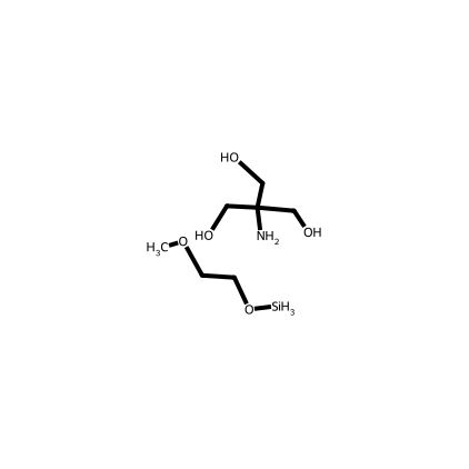 COCCO[SiH3].NC(CO)(CO)CO